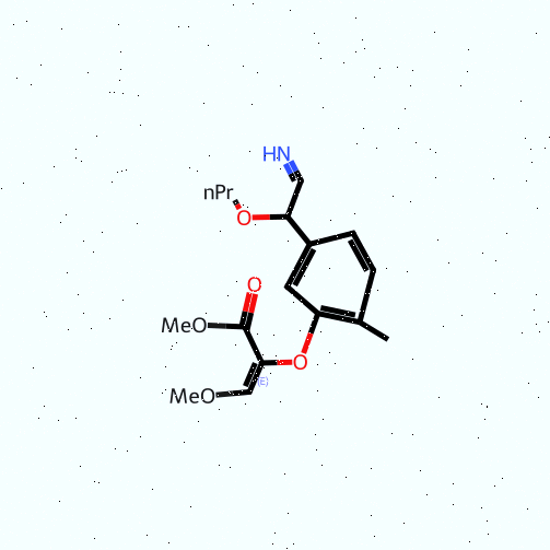 CCCOC(C=N)c1ccc(C)c(O/C(=C/OC)C(=O)OC)c1